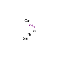 P.[Cu].[Ni].[Si].[Sn]